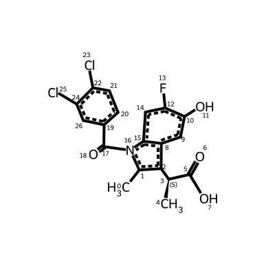 Cc1c([C@H](C)C(=O)O)c2cc(O)c(F)cc2n1C(=O)c1ccc(Cl)c(Cl)c1